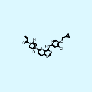 C=CC(=O)N1C[C@@H]2C[C@H]1CN2c1ccc2ncnc(Nc3cc(Cl)c(OCC4CC4)cn3)c2n1